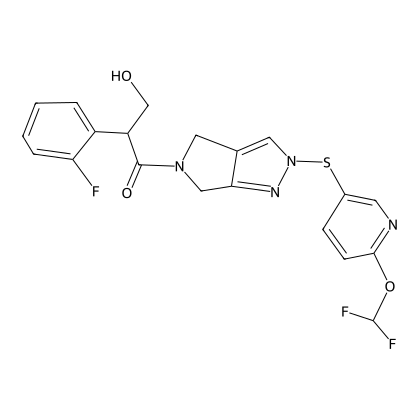 O=C(C(CO)c1ccccc1F)N1Cc2cn(Sc3ccc(OC(F)F)nc3)nc2C1